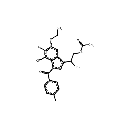 CCOc1cc2c(C(C)CNC(C)=O)cn(C(=O)c3ccc(I)cc3)c2c(Cl)c1F